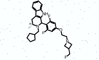 C[C@@H]1Cc2c([nH]c3ccccc23)C(c2c(F)cc(OCCN3CC(CF)C3)cc2F)N1CC1CCCC1